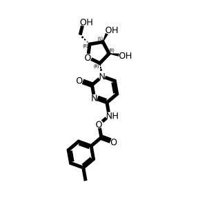 Cc1cccc(C(=O)ONc2ccn([C@@H]3O[C@H](CO)[C@@H](O)[C@H]3O)c(=O)n2)c1